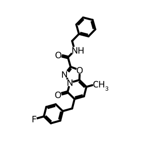 Cc1cc(Cc2ccc(F)cc2)c(=O)n2nc(C(=O)NCc3ccccc3)oc12